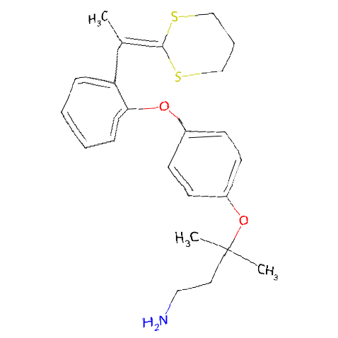 CC(=C1SCCCS1)c1ccccc1Oc1ccc(OC(C)(C)CCN)cc1